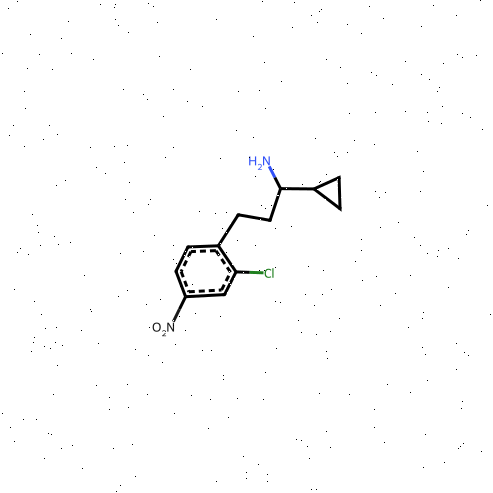 NC(CCc1ccc([N+](=O)[O-])cc1Cl)C1CC1